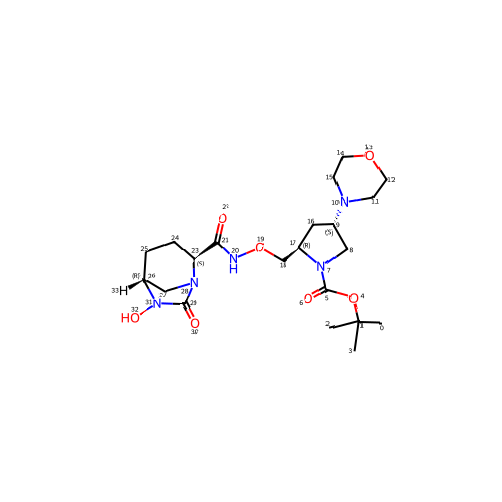 CC(C)(C)OC(=O)N1C[C@@H](N2CCOCC2)C[C@@H]1CONC(=O)[C@@H]1CC[C@@H]2CN1C(=O)N2O